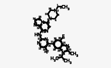 CCN1CCN(c2cnc(Nc3ncc(F)c(-c4cc(F)c5nc(C)n(C(C)C)c5c4)n3)c3nccn23)CC1